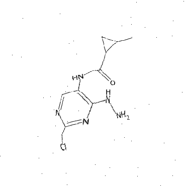 CC1CC1C(=O)Nc1cnc(Cl)nc1NN